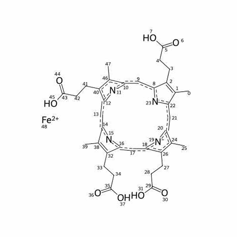 CC1=C(CCC(=O)O)c2cc3[n-]c(cc4nc(cc5[n-]c(cc1n2)c(C)c5CCC(=O)O)C(CCC(=O)O)=C4C)c(CCC(=O)O)c3C.[Fe+2]